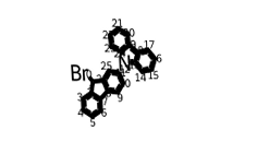 BrC1c2ccccc2-c2ccc(-n3c4ccccc4c4ccccc43)cc21